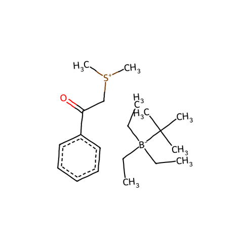 CC[B-](CC)(CC)C(C)(C)C.C[S+](C)CC(=O)c1ccccc1